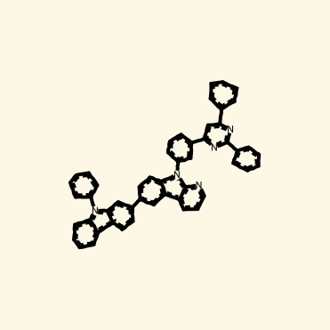 c1ccc(-c2cc(-c3cccc(-n4c5ccc(-c6ccc7c8ccccc8n(-c8ccccc8)c7c6)cc5c5cccnc54)c3)nc(-c3ccccc3)n2)cc1